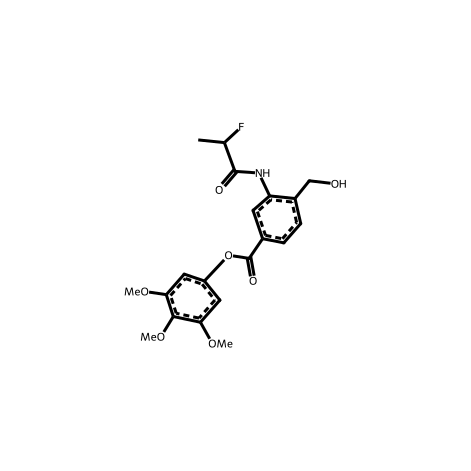 COc1cc(OC(=O)c2ccc(CO)c(NC(=O)C(C)F)c2)cc(OC)c1OC